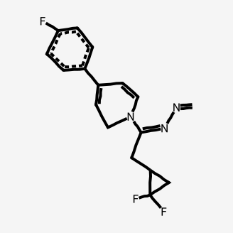 C=N/N=C(/CC1CC1(F)F)N1C=CC(c2ccc(F)cc2)=CC1